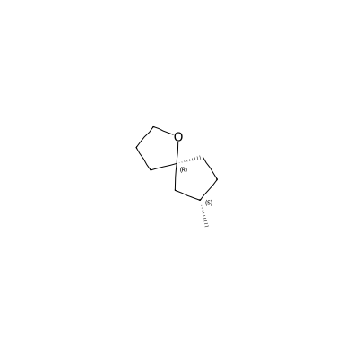 C[C@H]1CC[C@@]2(CCCO2)C1